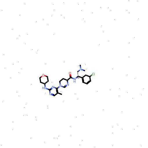 Cc1cnc(NC2CCOCC2)nc1N1C=NC(C(=O)N[C@H](CN(C)C)C2=CC=CC(Cl)C2)CC1